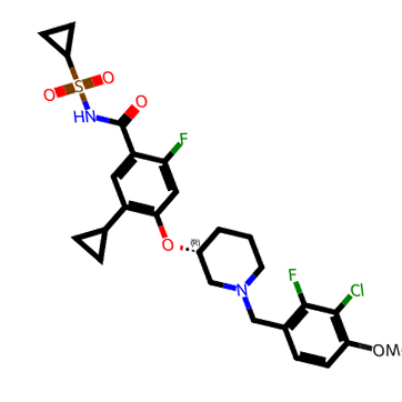 COc1ccc(CN2CCC[C@@H](Oc3cc(F)c(C(=O)NS(=O)(=O)C4CC4)cc3C3CC3)C2)c(F)c1Cl